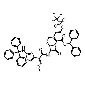 CON=C(C(=O)NC1C(=O)N2C(C(=O)OC(c3ccccc3)c3ccccc3)=C(C=COS(=O)(=O)C(F)(F)F)CSC12)c1csc(NC(c2ccccc2)(c2ccccc2)c2ccccc2)n1